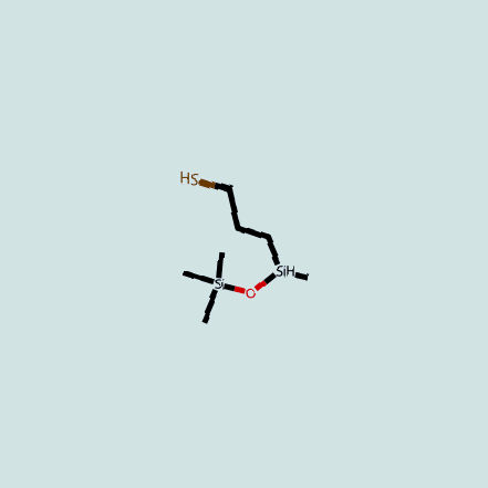 C[SiH](CCCS)O[Si](C)(C)C